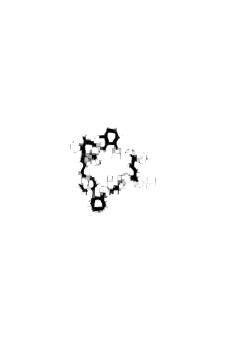 Cc1cccc(C)c1Cn1cc(C)c(=O)n(CCCN2CCN(c3ccccc3OCC(F)(F)F)CC2)c1=O.O=C(O)C=CC(=O)O